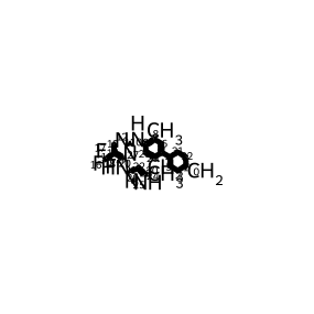 C=C1CCC(c2cc(C)c(Nc3ncc(C(F)(F)F)c(Nc4cc(C)[nH]n4)n3)cc2C)CC1